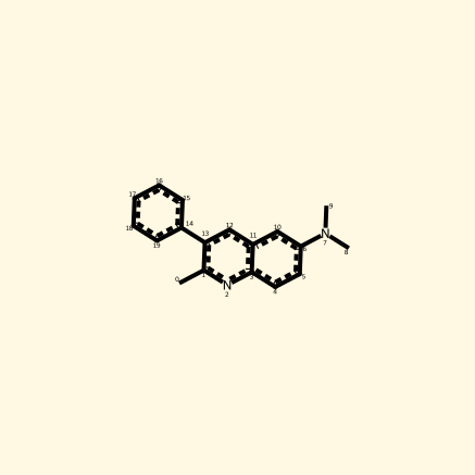 Cc1nc2ccc(N(C)C)cc2cc1-c1ccccc1